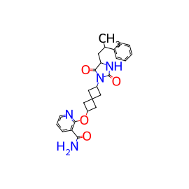 CC(CC1NC(=O)N(C2CC3(CC(Oc4ncccc4C(N)=O)C3)C2)C1=O)c1ccccc1